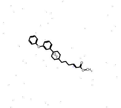 COC(=O)/C=C/CCCC12CCC(c3cccc(Oc4ccccc4)c3)(CC1)OC2